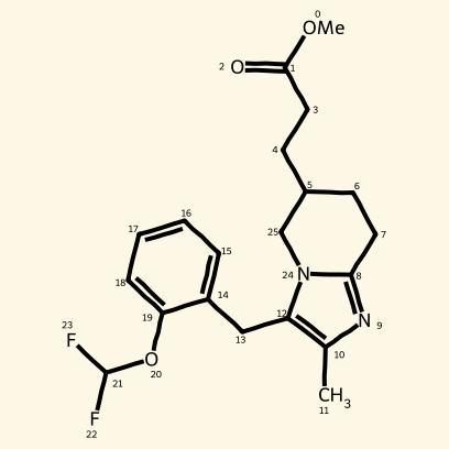 COC(=O)CCC1CCc2nc(C)c(Cc3ccccc3OC(F)F)n2C1